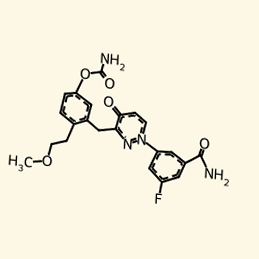 COCCc1ccc(OC(N)=O)cc1Cc1nn(-c2cc(F)cc(C(N)=O)c2)ccc1=O